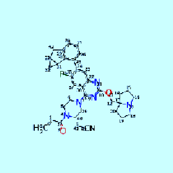 C=CC(=O)N1CCN(c2nc(OCC34CCCN3CCC4)nc3cc(-c4cccc5c4C4CC4C5)c(F)cc23)C[C@@H]1CC#N